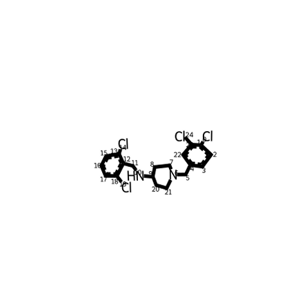 Clc1ccc(CN2CCC(NCc3c(Cl)cccc3Cl)CC2)cc1Cl